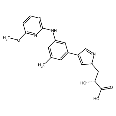 COc1ccnc(Nc2cc(C)cc(-c3cnn(C[C@@H](O)C(=O)O)c3)c2)n1